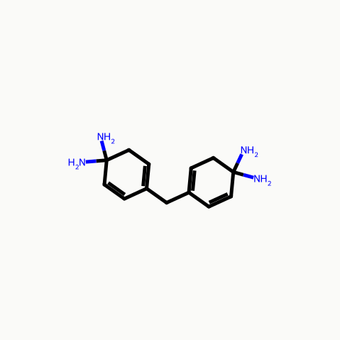 NC1(N)C=CC(CC2=CCC(N)(N)C=C2)=CC1